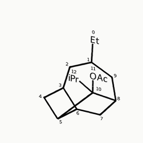 CCC1CC2CC3C2CC(C1)C3(OC(C)=O)C(C)C